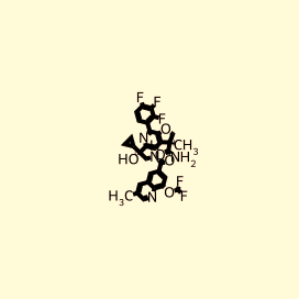 Cc1cnc2c(OC(F)F)cc(C(=O)NC[C@](O)(c3cc4c(c(-c5ccc(F)c(F)c5F)n3)OC[C@]4(C)C(N)=O)C3CC3)cc2c1